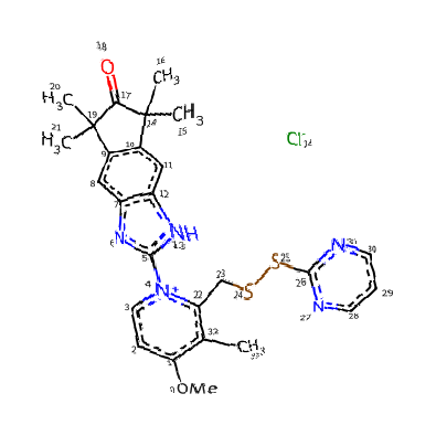 COc1cc[n+](-c2nc3cc4c(cc3[nH]2)C(C)(C)C(=O)C4(C)C)c(CSSc2ncccn2)c1C.[Cl-]